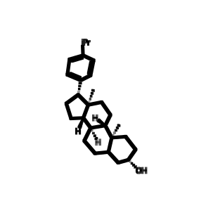 CC(C)c1ccc([C@H]2CC[C@H]3[C@@H]4CCC5C[C@@H](O)CC[C@]5(C)[C@H]4CC[C@]23C)cc1